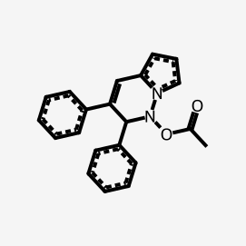 CC(=O)ON1C(c2ccccc2)C(c2ccccc2)=Cc2cccn21